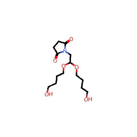 O=C1CCC(=O)N1CC(OCCCCO)OCCCCO